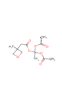 CC(=O)O[Si](C)(OC(C)=O)OC(=O)CC1(C)COC1